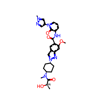 COc1cc2nn([C@H]3CC[C@H](N(C)C(=O)[C@@H](C)O)CC3)cc2cc1C(=O)Nc1cccn(-c2cnn(C)c2)c1=O